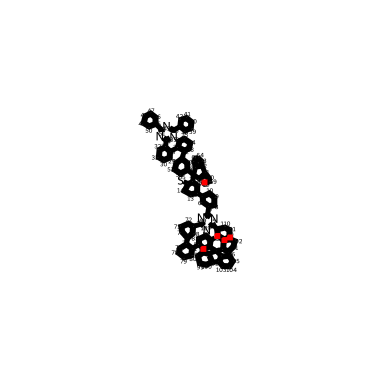 c1ccc(-c2nc(-c3cccc(-c4ccc5c(c4)C4(c6cc(-c7ccccc7-c7ccccc7-c7nc(-c8ccccc8)nc(-c8ccccc8)n7)ccc6S5)c5ccccc5-c5ccccc54)c3)nc(-c3cccc(-c4ccccc4-c4ccc5c(c4)C4(c6ccccc6S5)c5ccccc5-c5ccccc54)c3)n2)cc1